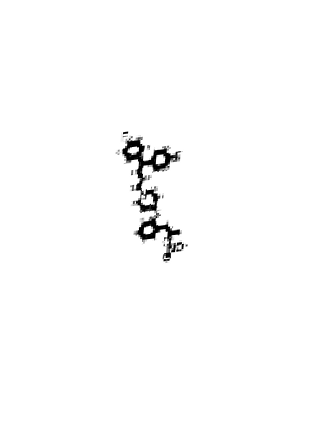 CC(Cc1ccccc1SN1CCN(CCCC(c2ccc(F)cc2)c2ccc(F)cc2)CC1)O[N+](=O)[O-]